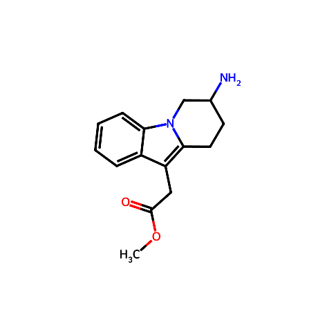 COC(=O)Cc1c2n(c3ccccc13)CC(N)CC2